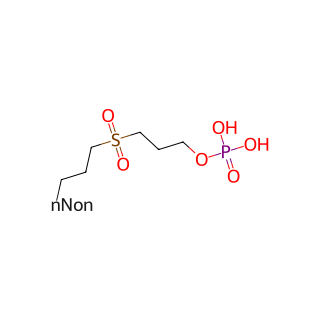 CCCCCCCCCCCCS(=O)(=O)CCCOP(=O)(O)O